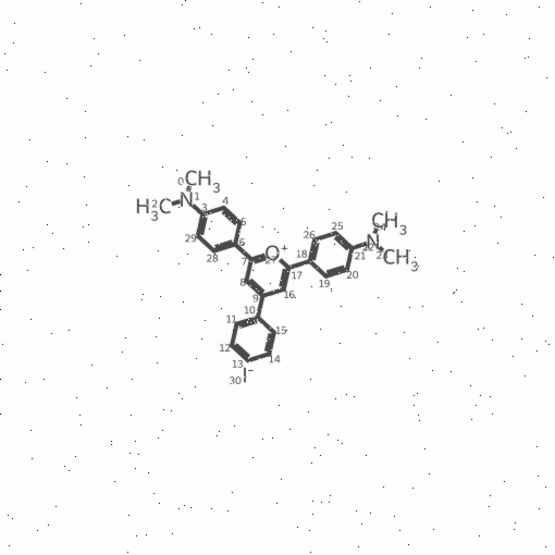 CN(C)c1ccc(-c2cc(-c3ccccc3)cc(-c3ccc(N(C)C)cc3)[o+]2)cc1.[I-]